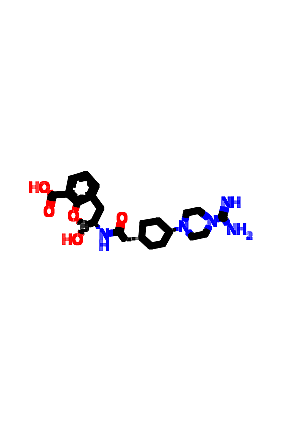 N=C(N)N1CCN([C@H]2CC[C@@H](CC(=O)N[C@H]3Cc4cccc(C(=O)O)c4OB3O)CC2)CC1